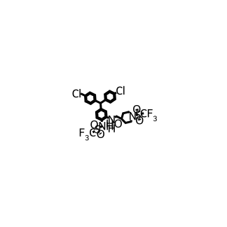 O=S(=O)(Nc1ccc(C(c2ccc(Cl)cc2)c2ccc(Cl)cc2)cc1NCC1(O)CCN(S(=O)(=O)C(F)(F)F)CC1)C(F)(F)F